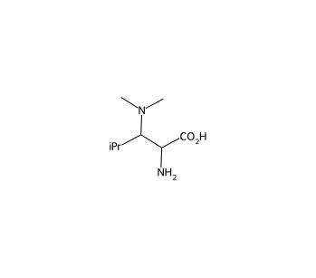 CC(C)C(C(N)C(=O)O)N(C)C